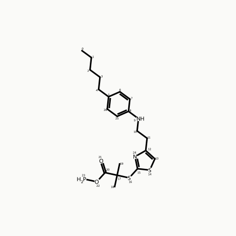 CCCCCc1ccc(NCCc2csc(SC(C)(C)C(=O)OP)n2)cc1